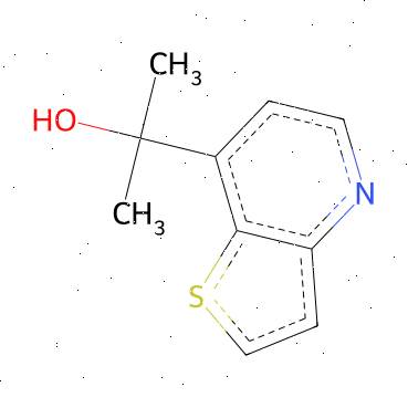 CC(C)(O)c1ccnc2ccsc12